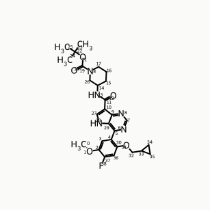 COc1cc(-c2ncnc3c(C(=O)NC4CCCN(C(=O)OC(C)(C)C)C4)c[nH]c23)c(OCC2CC2)cc1F